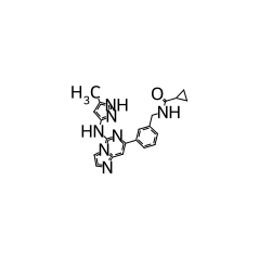 Cc1cc(Nc2nc(-c3cccc(CNC(=O)C4CC4)c3)cc3nccn23)n[nH]1